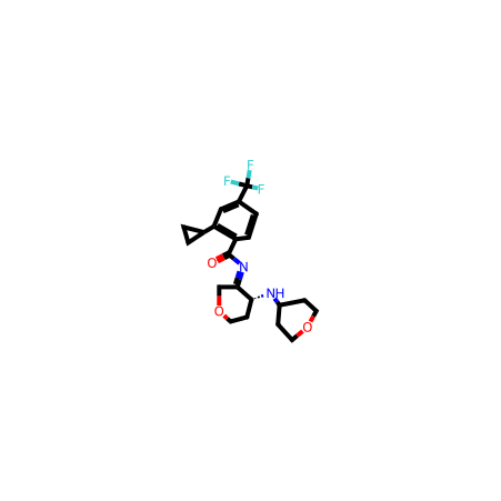 O=C(/N=C1\COCC[C@H]1NC1CCOCC1)c1ccc(C(F)(F)F)cc1C1CC1